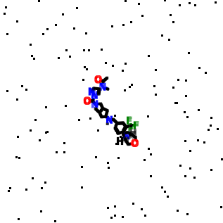 CC(=O)N(C)c1cnn(C(=O)N2CC3CC(N(C)Cc4ccc(N5[C@@H]6CC[C@H]5COC6)c(C(F)(F)F)c4)CC3C2)c1